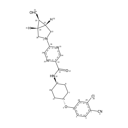 N#Cc1ccc(O[C@H]2CC[C@H](NC(=O)c3cnc(N4C[C@@H]5[C@@H](C=O)[C@@H]5C4)cn3)CC2)cc1Cl